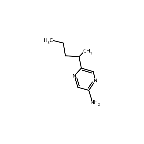 CCCC(C)c1cnc(N)cn1